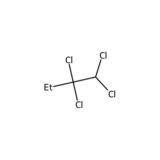 CCC(Cl)(Cl)C(Cl)Cl